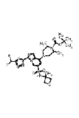 C[C@H]1CN(c2cc(S(=O)(=O)NC3(C)COC3)cn3c(-c4nnc(C(F)F)s4)ncc23)C[C@H](C)N1C(=O)OC(C)(C)C